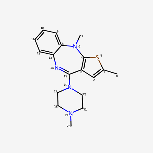 Cc1cc2c(s1)N(C)c1ccccc1N=C2N1CCN(C)CC1